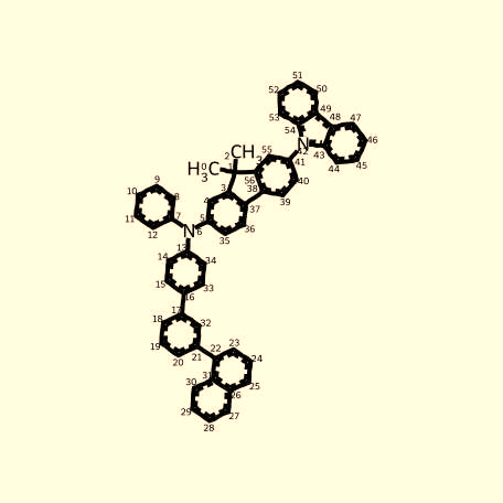 CC1(C)c2cc(N(c3ccccc3)c3ccc(-c4cccc(-c5cccc6ccccc56)c4)cc3)ccc2-c2ccc(-n3c4ccccc4c4ccccc43)cc21